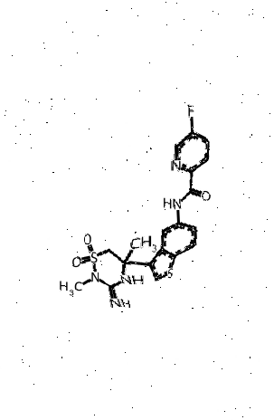 CN1C(=N)NC(C)(c2csc3ccc(NC(=O)c4ccc(F)cn4)cc23)CS1(=O)=O